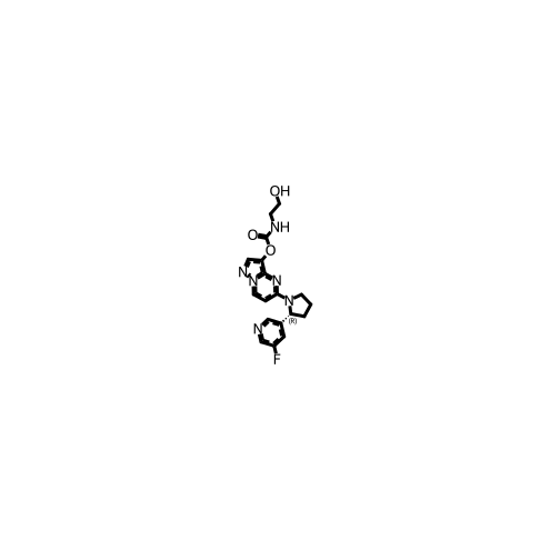 O=C(NCCO)Oc1cnn2ccc(N3CCC[C@@H]3c3cncc(F)c3)nc12